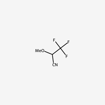 COC(C#N)C(F)(F)F